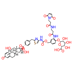 C[C@]12C=CC(=O)C=C1CC[C@@H]1[C@@H]2[C@@H](O)C[C@@]2(C)[C@H]1C[C@H]1O[C@@H](c3ccc(Cc4nc(NC(=O)OCc5ccc(O[C@@H]6O[C@H](C(=O)O)[C@@H](O)[C@H](O)[C@H]6O)c(NC(=O)CCNC(=O)CCN6C(=O)C=CC6=O)c5)cs4)cc3)O[C@]12C(=O)CO